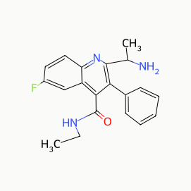 CCNC(=O)c1c(-c2ccccc2)c(C(C)N)nc2ccc(F)cc12